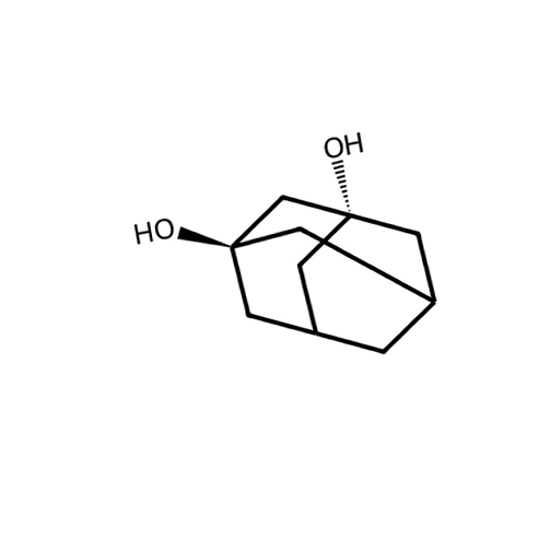 O[C@]12CC3CC(C[C@](O)(C3)C1)C2